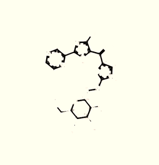 Cc1nc(-c2cnccn2)sc1C(=O)c1cnc(NC[C@H]2O[C@H](CO)[C@@H](O)[C@H](O)[C@@H]2O)s1